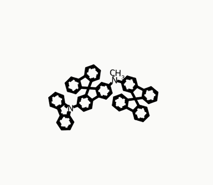 CN(c1ccc2c(c1)C1(c3ccccc3-c3ccccc31)c1ccccc1-2)c1ccc2c(c1)C1(c3ccccc3-c3ccccc31)c1cc(-n3c4ccccc4c4ccccc43)ccc1-2